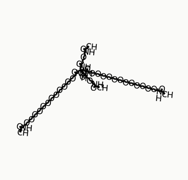 C#CC(=O)NCCOCCCC(=O)NCC(CNC(=O)CCCOCCNC(=O)C#C)(CNC(=O)CCOCCOCCOCCOCCOCCOCCOCCOCCOCCOCCOCCOCCNC(=O)C#C)CNC(=O)CCOCCOCCOCCOCCOCCOCCOCCOCCOCCOCCOCCOCCNC(=O)C#C